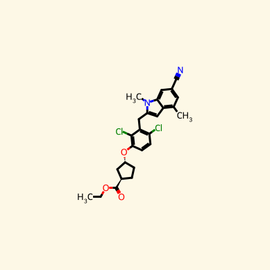 CCOC(=O)[C@@H]1CC[C@@H](Oc2ccc(Cl)c(Cc3cc4c(C)cc(C#N)cc4n3C)c2Cl)C1